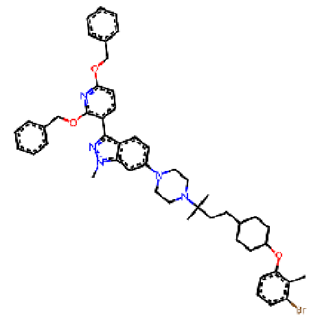 Cc1c(Br)cccc1OC1CCC(CCC(C)(C)N2CCN(c3ccc4c(-c5ccc(OCc6ccccc6)nc5OCc5ccccc5)nn(C)c4c3)CC2)CC1